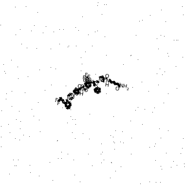 C=C(CCC1=C(CN2CCN(c3ccc(C(=O)NS(=O)(=O)c4ccc(N[C@H](CCN5CC[C@H](C(=O)NCCCCCC(N)=O)C5)CSc5ccccc5)c(S(=O)(=O)C(F)(F)F)c4)cc3)CC2)CCC(C)(C)C1)C(F)F